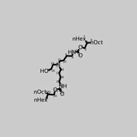 CCCCCCCCC(CCCCCC)COC(=O)NCCCCN(CCO)CCCCNC(=O)OCC(CCCCCC)CCCCCCCC